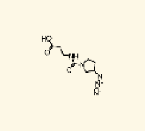 [N-]=[N+]=NC1CCN(C(=O)NCCC(=O)O)C1